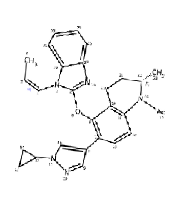 C/C=C\n1c(Oc2c(-c3cnn(C4CC4)c3)ccc3c2CC[C@H](C)N3C(C)=O)nc2ccccc21